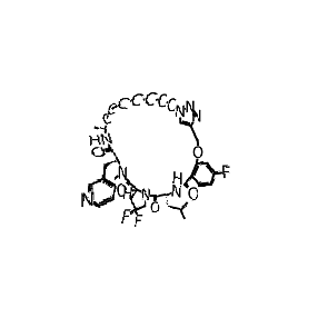 CC(C)C[C@H]1NC(=O)c2ccc(F)cc2OCc2cn(nn2)CCCCCCC[C@H](C)NC(=O)[C@H](Cc2cccnc2)N(C)C(=O)[C@H]2CC(F)(F)CN2C1=O